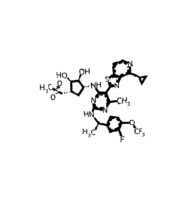 Cc1nc(N[C@H](C)c2ccc(OC(F)(F)F)c(F)c2)nc(N[C@@H]2C[C@H](CS(C)(=O)=O)[C@@H](O)[C@H]2O)c1-c1nc2c(C3CC3)nccc2s1